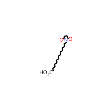 O=C(O)CCCCCCCCCCCCCCCN1C(=O)CCC1=O